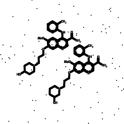 COc1cc2c(Nc3ccccc3C)c(C(N)=O)cnc2cc1OCCCN1CCC(O)CC1.COc1cc2c(Nc3ccccc3C)c(C(N)=O)cnc2cc1OCCCN1CCCC(O)C1